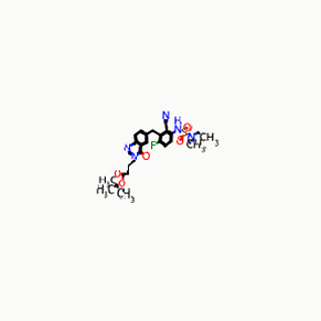 CCN(C)S(=O)(=O)Nc1ccc(F)c(Cc2ccc3ncn(CCCC(=O)OC(C)(C)C)c(=O)c3c2)c1C#N